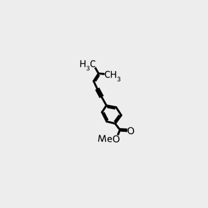 COC(=O)c1ccc(C#CC=C(C)C)cc1